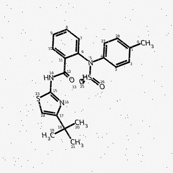 Cc1ccc(N(c2ccccc2C(=O)Nc2nc(C(C)(C)C)cs2)[SH](=O)=O)cc1